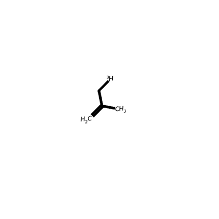 [3H]CC(=C)C